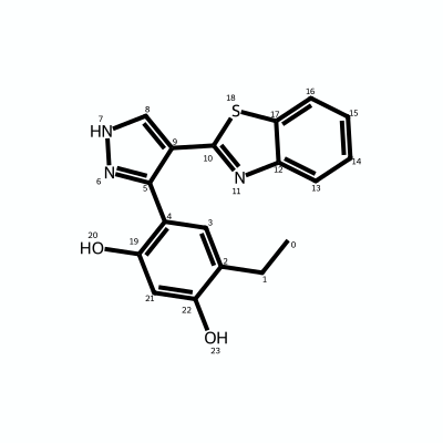 CCc1cc(-c2n[nH]cc2-c2nc3ccccc3s2)c(O)cc1O